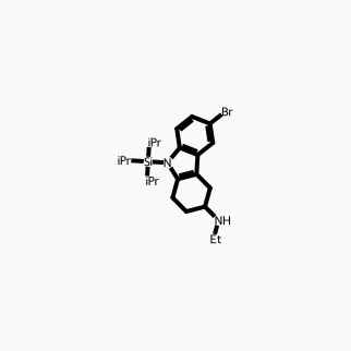 CCNC1CCc2c(c3cc(Br)ccc3n2[Si](C(C)C)(C(C)C)C(C)C)C1